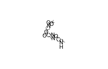 COc1cc2cnc(Oc3ccc4[nH]c(C)cc4c3)nc2cc1OC1CCN(C(=O)OC(C)(C)C)CC1